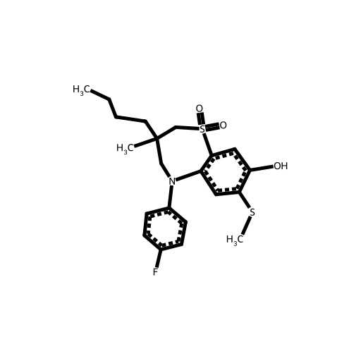 CCCCC1(C)CN(c2ccc(F)cc2)c2cc(SC)c(O)cc2S(=O)(=O)C1